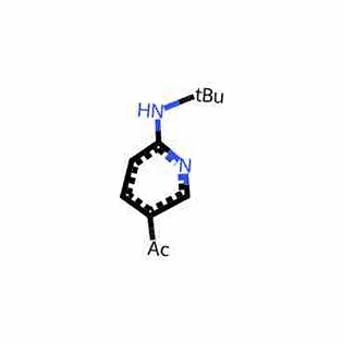 CC(=O)c1ccc(NC(C)(C)C)nc1